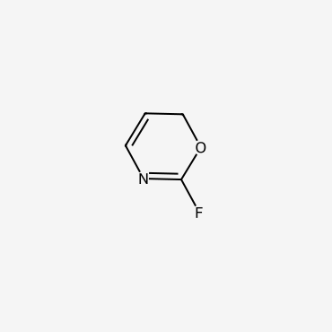 FC1=NC=CCO1